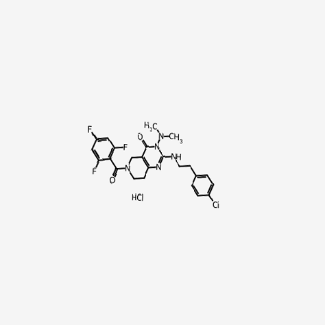 CN(C)n1c(NCCc2ccc(Cl)cc2)nc2c(c1=O)CN(C(=O)c1c(F)cc(F)cc1F)CC2.Cl